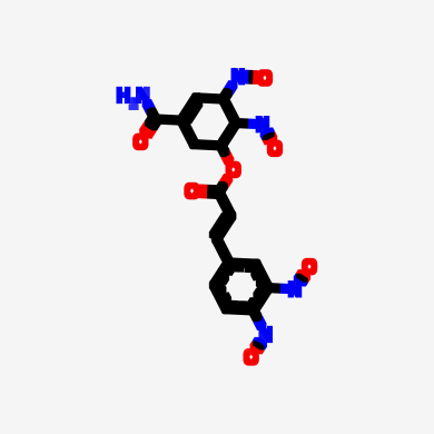 NC(=O)C1=CC(N=O)C(N=O)C(OC(=O)/C=C/c2ccc(N=O)c(N=O)c2)C1